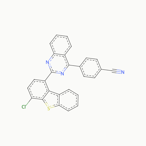 N#Cc1ccc(-c2nc(-c3ccc(Cl)c4sc5ccccc5c34)nc3ccccc23)cc1